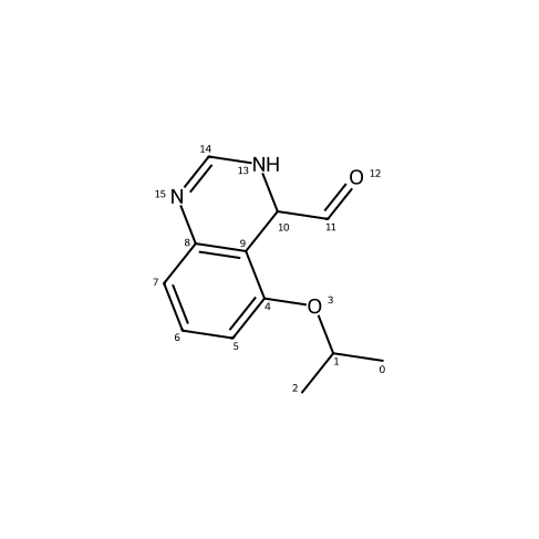 CC(C)Oc1cccc2c1C(C=O)NC=N2